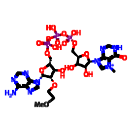 COCCO[C@H]1C(O)[C@@H](COP(=O)(O)OP(=O)(O)OP(=O)(O)OC[C@H]2O[C@@H](n3c[n+](C)c4c(=O)[nH]cnc43)[C@@H](O)C2O)O[C@H]1n1cnc2c(N)ncnc21